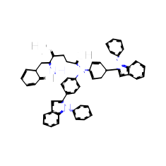 C=C(CCC(=C)N(C1=CCC(c2cc3ccccc3n2-c2ccccc2)C=C1)c1ccc(-c2cc3ccccc3n2-c2ccccc2)cc1)C(=N)CC1C=CC=CC1=C